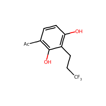 CC(=O)c1ccc(O)c(CCC(F)(F)F)c1O